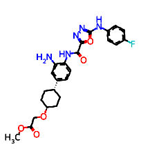 COC(=O)CO[C@H]1CC[C@H](c2ccc(NC(=O)c3nnc(Nc4ccc(F)cc4)o3)c(N)c2)CC1